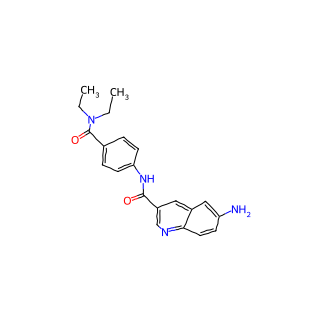 CCN(CC)C(=O)c1ccc(NC(=O)c2cnc3ccc(N)cc3c2)cc1